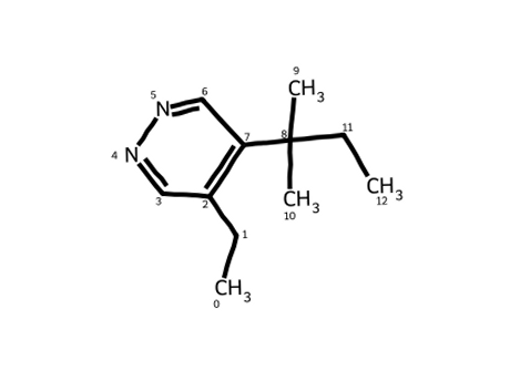 CCc1cnncc1C(C)(C)CC